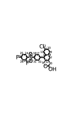 Cc1c(CC(=O)O)cc2ccc(Cl)cc2c1-c1ccc(S(=O)(=O)c2ccc(F)cc2F)cc1